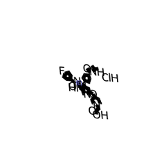 CC(C)NC(=O)[C@H]1CC[C@@H](n2/c(=N/C(=O)c3ccc(F)cc3)[nH]c3cnc(OC4CCN(CC(=O)O)CC4)cc32)CC1.Cl